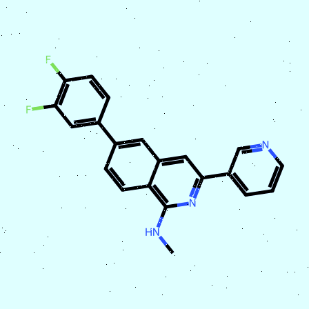 CNc1nc(-c2cccnc2)cc2cc(-c3ccc(F)c(F)c3)ccc12